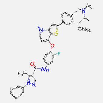 COCC(C)N(Cc1ccc(-c2cc3nccc(Oc4ccc(NC(=O)c5cnn(-c6ccccc6)c5C(F)(F)F)cc4F)c3s2)cc1)C(C)=O